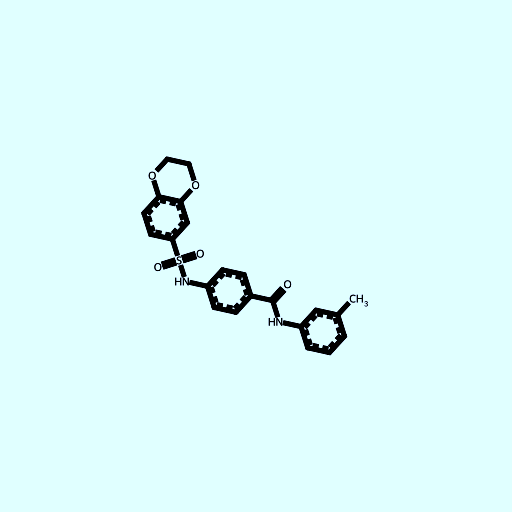 Cc1cccc(NC(=O)c2ccc(NS(=O)(=O)c3ccc4c(c3)OCCO4)cc2)c1